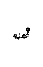 O=C(OCc1ccccc1)N1CCC(CN[C@@H]2C[C@H]2c2nccs2)CC1F